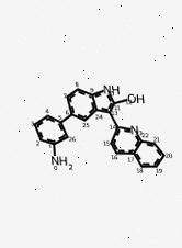 Nc1cccc(-c2ccc3[nH]c(O)c(-c4ccc5ccccc5n4)c3c2)c1